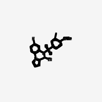 CCC1c2cccn2-c2ccc(F)cc2N1S(=O)(=O)c1ccc(OC)c(C)c1